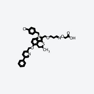 CC1Cc2c(OCc3ccc(-c4ccccc4)cn3)ccc3c2c(c(COCCC=NOCC(=O)O)n3Cc2ccc(Cl)cc2)S1